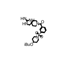 CC(C)COC1CCN(S(=O)(=O)c2cccc(C(=O)N3CCC4(CC3)CNC(=N)N4)c2)CC1